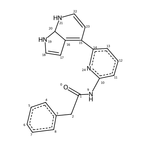 O=C(Cc1ccccc1)Nc1cccc(C2=C3C=CNC3NC=C2)n1